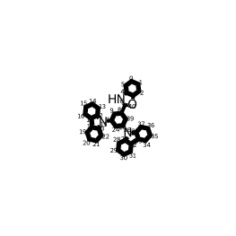 c1ccc2c(c1)NC(c1cc(-n3c4ccccc4c4ccccc43)cc(-n3c4ccccc4c4ccccc43)c1)O2